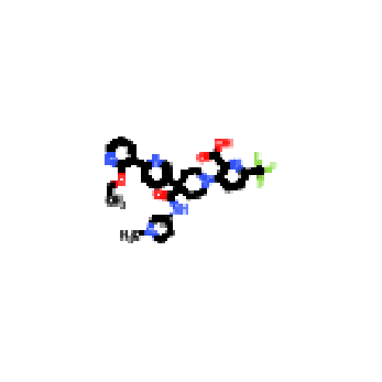 CCOc1ncccc1-c1ccc(C2(C(=O)N[C@@H]3CCN(C)C3)CCN(c3ccc(C(F)(F)F)nc3C(=O)O)CC2)cn1